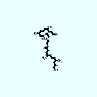 CCC(CCCC(C)CCCC(C)C)CC(=O)OCCN(C)CCOC(=O)CCC(C)CCCC(C)CCCC(C)C